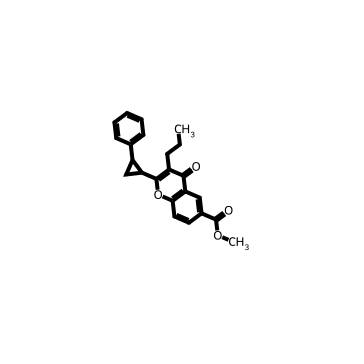 CCCc1c(C2CC2c2ccccc2)oc2ccc(C(=O)OC)cc2c1=O